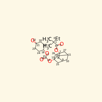 CCC(C)(C)C(=O)OC12CC3CC(CC(OC(=O)OC4CCC(=O)CC4)(C3)C1)C2